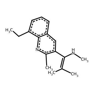 CCc1cccc2cc(C(NC)=C(C)C)c(C)nc12